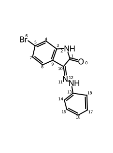 O=C1Nc2cc(Br)ccc2/C1=N/Nc1ccccc1